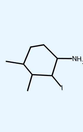 CC1CCC(N)C(I)C1C